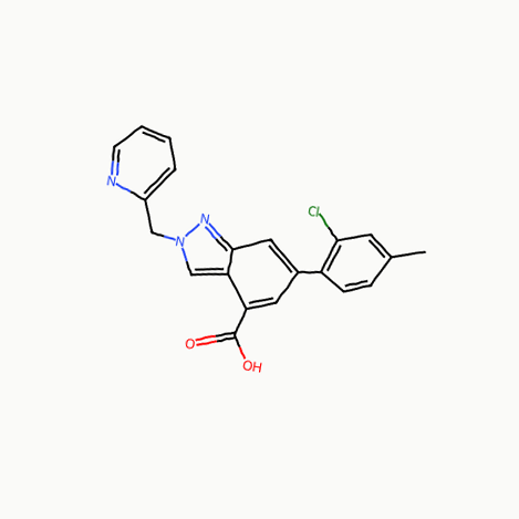 Cc1ccc(-c2cc(C(=O)O)c3cn(Cc4ccccn4)nc3c2)c(Cl)c1